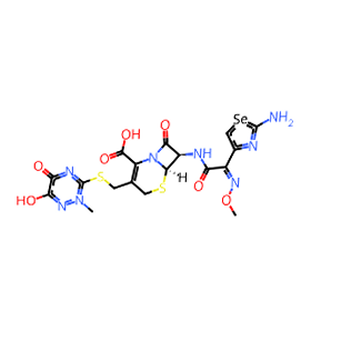 CO/N=C(\C(=O)N[C@@H]1C(=O)N2C(C(=O)O)=C(CSc3nc(=O)c(O)nn3C)CS[C@H]12)c1c[se]c(N)n1